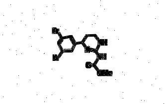 COC(=O)NC1=NC(c2cc(Br)cc(Br)c2)CCN1